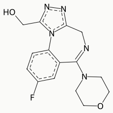 OCc1nnc2n1-c1ccc(F)cc1C(N1CCOCC1)=NC2